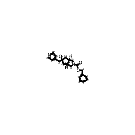 O=C(OCc1ccccc1)N1C[C@@H]2CC(O)(Cc3ccncc3)C[C@@H]2C1